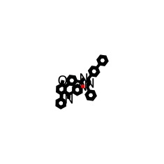 c1ccc(-c2ccc(-c3nc(-c4ccccc4)nc(-c4ccc5oc6ccc7c8ccccc8nc(-c8ccccc8)c7c6c5c4)n3)cc2)cc1